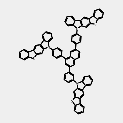 c1cc(-c2cc(-c3ccc(-n4c5ccccc5c5cc6c(cc54)sc4ccccc46)cc3)c3cc(-c4ccc(-n5c6ccccc6c6cc7c(cc65)sc5ccccc57)cc4)ccc3c2)cc(-n2c3ccccc3c3cc4c(cc32)sc2ccccc24)c1